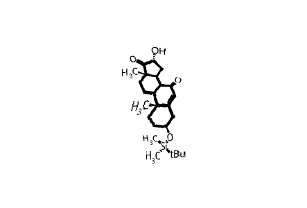 CC(C)(C)[Si](C)(C)O[C@H]1CC[C@@]2(C)C(=CC(=O)C3C2CC[C@]2(C)C(=O)[C@H](O)CC32)C1